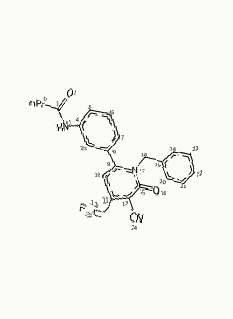 CCCC(=O)Nc1cccc(-c2cc(C(F)(F)F)c(C#N)c(=O)n2Cc2ccccc2)c1